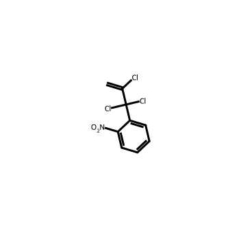 C=C(Cl)C(Cl)(Cl)c1ccccc1[N+](=O)[O-]